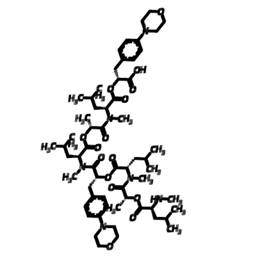 CN[C@@H](CC(C)C)C(=O)O[C@H](C)C(=O)N(C)[C@@H](CC(C)C)C(=O)O[C@H](Cc1ccc(N2CCOCC2)cc1)C(=O)N(C)[C@@H](CC(C)C)C(=O)O[C@H](C)C(=O)N(C)[C@@H](CC(C)C)C(=O)O[C@H](Cc1ccc(N2CCOCC2)cc1)C(=O)O